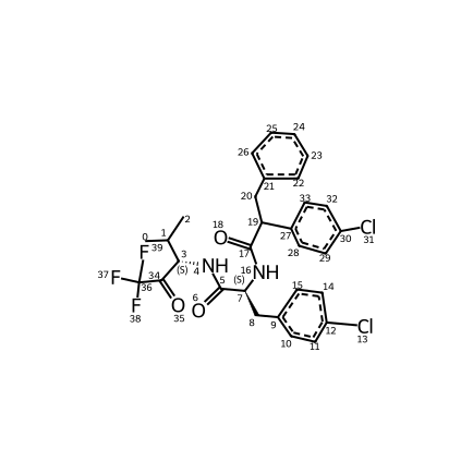 CC(C)[C@H](NC(=O)[C@H](Cc1ccc(Cl)cc1)NC(=O)C(Cc1ccccc1)c1ccc(Cl)cc1)C(=O)C(F)(F)F